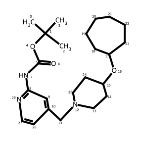 CC(C)(C)OC(=O)Nc1cc(CN2CCC(OC3CCCCCC3)CC2)ccn1